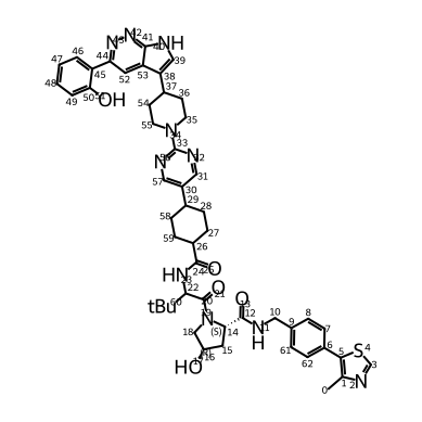 Cc1ncsc1-c1ccc(CNC(=O)[C@@H]2C[C@@H](O)CN2C(=O)C(NC(=O)C2CCC(c3cnc(N4CCC(c5c[nH]c6nnc(-c7ccccc7O)cc56)CC4)nc3)CC2)C(C)(C)C)cc1